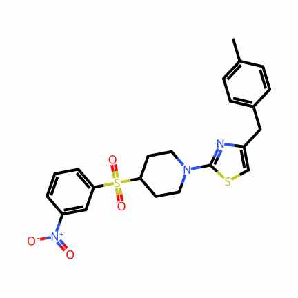 Cc1ccc(Cc2csc(N3CCC(S(=O)(=O)c4cccc([N+](=O)[O-])c4)CC3)n2)cc1